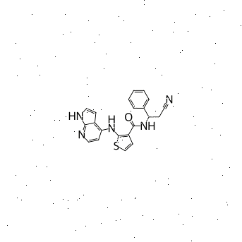 N#CCC(NC(=O)c1ccsc1Nc1ccnc2[nH]ccc12)c1ccccc1